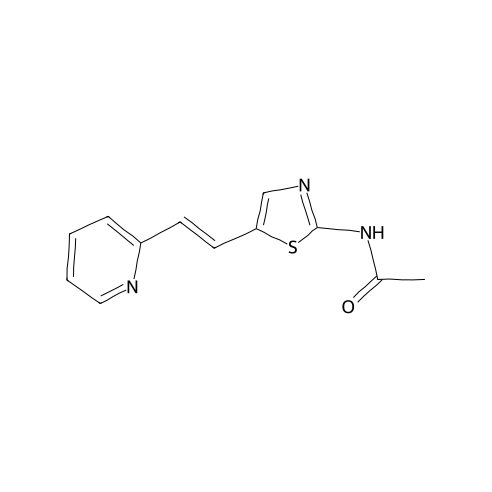 CC(=O)Nc1ncc(/C=C/c2ccccn2)s1